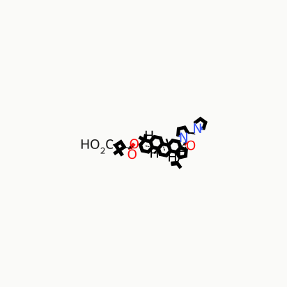 C=C(C)[C@@H]1CC[C@]2(C(=O)N3CCC[C@H]3CN3CCCC3)CC[C@]3(C)[C@H](CC[C@@H]4[C@@]5(C)CC[C@H](OC(=O)[C@H]6C[C@@H](C(=O)O)C6(C)C)C(C)(C)[C@@H]5CC[C@]43C)[C@@H]12